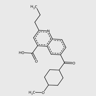 CCCc1cc(C(=O)O)c2cc(C(=O)C3CCC(OC)CC3)ccc2n1